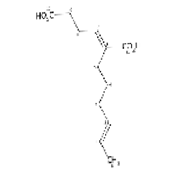 CC=CCCCC(=CCCC(=O)O)C(=O)O